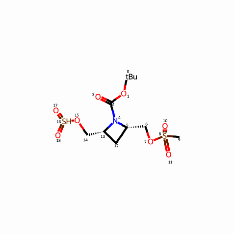 CC(C)(C)OC(=O)N1[C@H](COS(C)(=O)=O)C[C@@H]1CO[SH](=O)=O